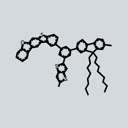 CCCCCCCCC1(CCCCCCCC)c2cc(C)ccc2-c2ccc(-c3cc(-c4ccc5sc6cc7oc8ccccc8c7cc6c5c4)cc(-c4cc5sc(C)cc5s4)c3)cc21